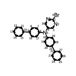 Brc1ncc(N(c2ccc(-c3ccccc3)cc2)c2ccc(-c3ccccc3)cc2)cn1